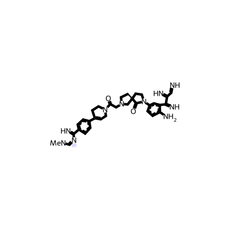 CN/C=N\C(=N)c1ccc(C2=CCN(C(=O)CN3CC[C@]4(CCN(c5ccc(N)c(C(=N)C(=N)C=N)c5)C4=O)C3)CC2)cc1